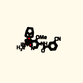 COc1c(NC(=O)c2cccc(C#N)c2)cnc2c1c(C1C3CCC1CN(C(=O)C(C)C)C3)cn2C